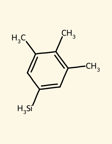 Cc1cc([SiH3])cc(C)c1C